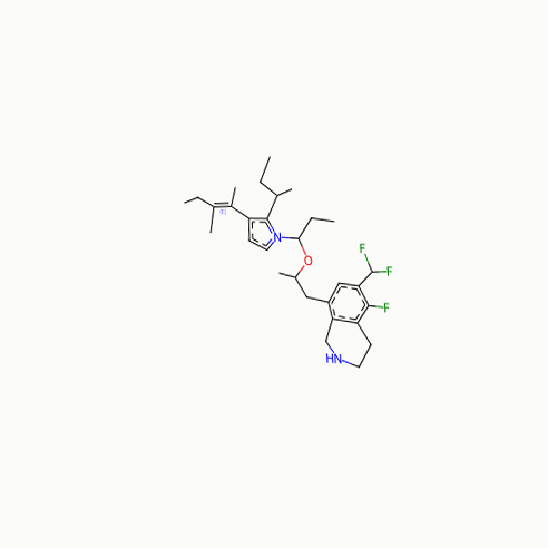 CC/C(C)=C(\C)c1ccn(C(CC)OC(C)Cc2cc(C(F)F)c(F)c3c2CNCC3)c1C(C)CC